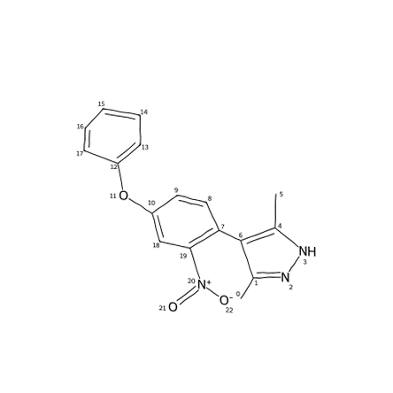 Cc1n[nH]c(C)c1-c1ccc(Oc2ccccc2)cc1[N+](=O)[O-]